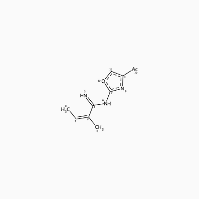 C/C=C(/C)C(=N)Nc1nc(C(C)=O)co1